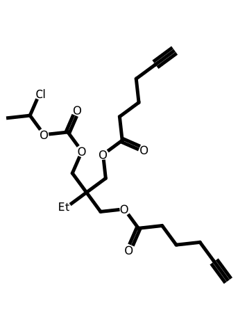 C#CCCCC(=O)OCC(CC)(COC(=O)CCCC#C)COC(=O)OC(C)Cl